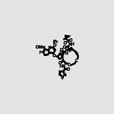 COc1c(F)ccc2c(O[C@@H]3C[C@H]4C(=O)N[C@]5(C(=O)NS(=O)(=O)C6(C)CC6)CC5/C=C\CCCCC[C@H](NC(=O)c5ccn(C)n5)C(=O)N4C3)cc(OC(C)C)nc12